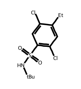 CCc1cc(Cl)c(S(=O)(=O)NC(C)(C)C)cc1Cl